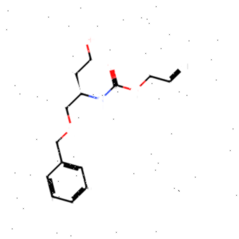 C=CCOC(=O)N[C@H](CCO)COCc1ccccc1